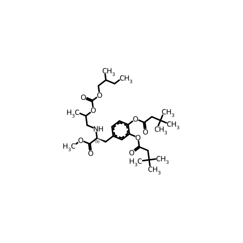 CCC(C)COC(=O)OC(C)CN[C@@H](Cc1ccc(OC(=O)CC(C)(C)C)c(OC(=O)CC(C)(C)C)c1)C(=O)OC